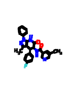 Cc1cncc(C(=O)N[C@@H]2C(=O)Nc3c(c(C)nn3-c3ccccc3)[C@@H]2c2ccc(F)cc2)c1